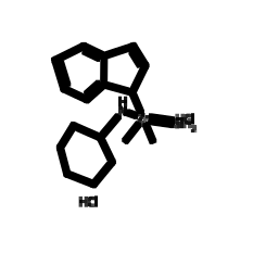 Cl.Cl.[CH3][Zr]([CH3])(=[SiH2])([NH]C1CCCCC1)[CH]1C=Cc2ccccc21